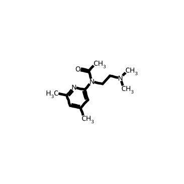 CC(=O)N(CCN(C)C)c1cc(C)cc(C)n1